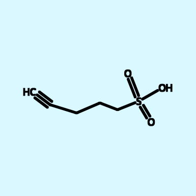 C#CCCCS(=O)(=O)O